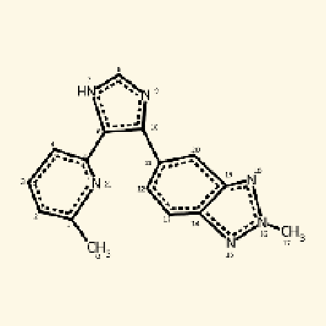 Cc1cccc(-c2[nH]cnc2-c2ccc3nn(C)nc3c2)n1